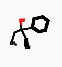 C#CC(O)(CC)c1ccccc1